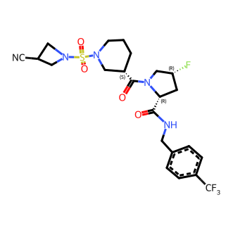 N#CC1CN(S(=O)(=O)N2CCC[C@H](C(=O)N3C[C@H](F)C[C@@H]3C(=O)NCc3ccc(C(F)(F)F)cc3)C2)C1